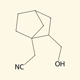 N#CCC12CCC(CC1CO)C2